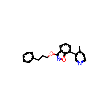 Cc1ccncc1-c1cccc2c(OCCCc3ccccc3)noc12